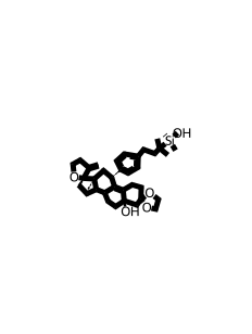 C=C1CCO[C@]12CCC1C3CC[C@@]4(O)CC5(CCC4=C3[C@@H](c3ccc(CCC(C)(C)[Si](C)(C)O)cc3)C[C@@]12C)OCCO5